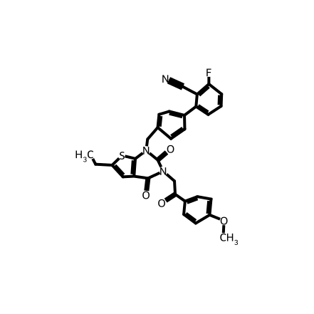 CCc1cc2c(=O)n(CC(=O)c3ccc(OC)cc3)c(=O)n(Cc3ccc(-c4cccc(F)c4C#N)cc3)c2s1